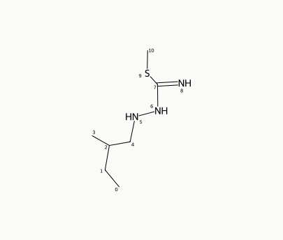 CCC(C)CNNC(=N)SC